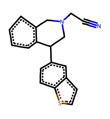 N#CCN1Cc2ccccc2C(c2ccc3sccc3c2)C1